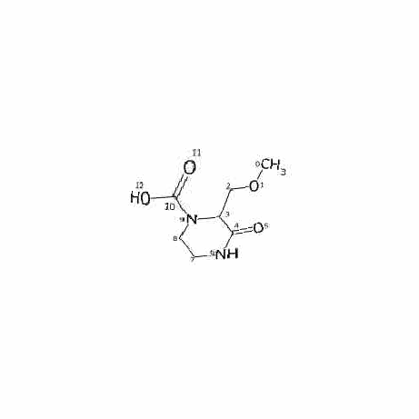 COCC1C(=O)NCCN1C(=O)O